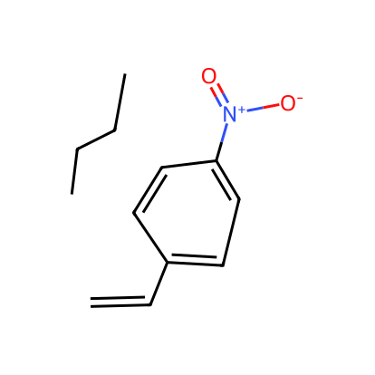 C=Cc1ccc([N+](=O)[O-])cc1.CCCC